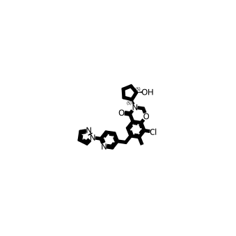 Cc1c(Cc2ccc(-n3cccn3)nc2)cc2c(c1Cl)OCN([C@H]1CCC[C@@H]1O)C2=O